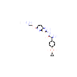 CNCCOc1ccc2nc(NC(=O)C(=N)c3ccc(S(=O)(=O)C4CC4)cc3)sc2n1